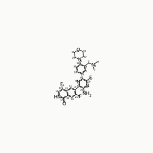 CN(C)Cc1cc(-c2nc(-c3cc4c(F)c[nH]c(=O)c4cc3F)c(N)nc2F)ccc1N1CCOCC1